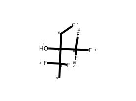 CC(F)(F)C(O)(CF)C(F)(F)F